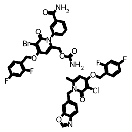 Cc1cc(OCc2ccc(F)cc2F)c(Cl)c(=O)n1Cc1ccc2ncoc2c1.NC(=O)OCc1cc(OCc2ccc(F)cc2F)c(Br)c(=O)n1-c1cccc(C(N)=O)c1